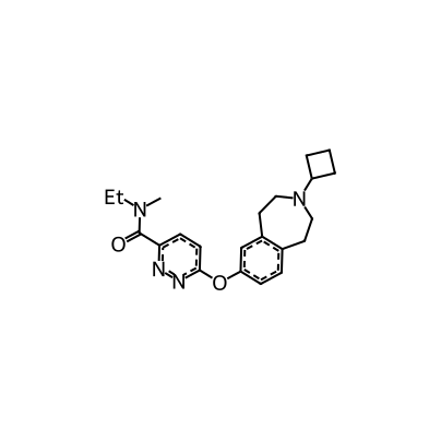 CCN(C)C(=O)c1ccc(Oc2ccc3c(c2)CCN(C2CCC2)CC3)nn1